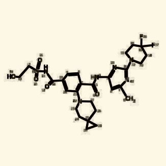 Cc1cc(NC(=O)c2ccc(C(=O)NS(=O)(=O)CCO)cc2N2CCC3(CC2)CC3)nc(N2CCC(F)(F)CC2)n1